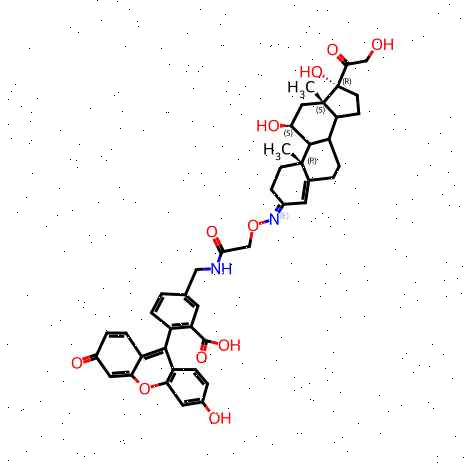 C[C@]12CC/C(=N\OCC(=O)NCc3ccc(-c4c5ccc(=O)cc-5oc5cc(O)ccc45)c(C(=O)O)c3)C=C1CCC1C2[C@@H](O)C[C@@]2(C)C1CC[C@]2(O)C(=O)CO